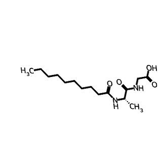 CCCCCCCCCC(=O)N[C@@H](C)C(=O)NCC(=O)O